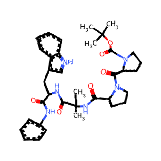 CC(C)(C)OC(=O)N1CCCC1C(=O)N1CCCC1C(=O)NC(C)(C)C(=O)NC(Cc1c[nH]c2ccccc12)C(=O)Nc1ccccc1